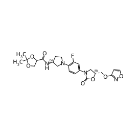 CC1(C)OCC(C(=O)N[C@H]2CCN(c3ccc(N4C[C@H](COc5ccon5)OC4=O)cc3F)C2)O1